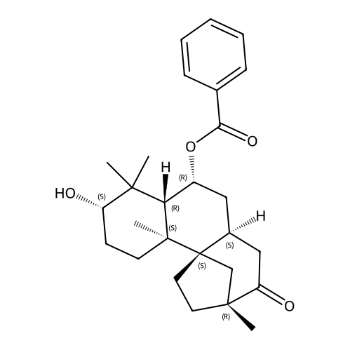 CC1(C)[C@@H](O)CC[C@@]2(C)[C@H]1[C@H](OC(=O)c1ccccc1)C[C@H]1CC(=O)[C@]3(C)CC[C@]12C3